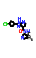 Cc1ccncc1NC(=O)c1ccnc2[nH]c(-c3ccc(Cl)cc3)nc12